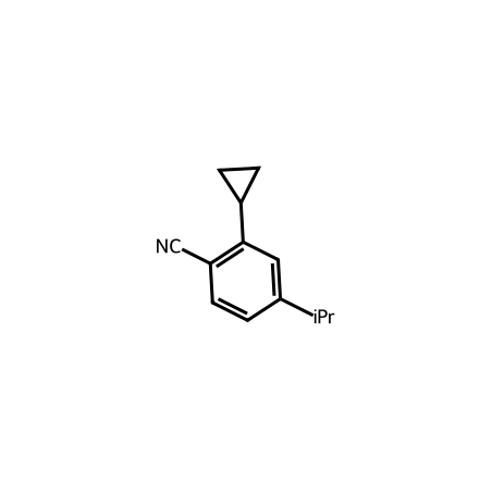 CC(C)c1ccc(C#N)c(C2CC2)c1